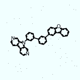 c1cc(-c2cccc(-n3c4cnccc4c4ccncc43)c2)cc(-c2ccc3oc4ccccc4c3c2)c1